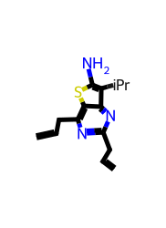 C=CCc1nc(CC=C)c2sc(N)c(C(C)C)c2n1